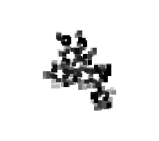 COc1ccc(C2(c3ccccc3)C=Cc3c(-c4cncs4)n[nH]c3C2)c(OC)c1OC